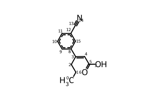 CCCC(=CC(=O)O)c1cccc(C#N)c1